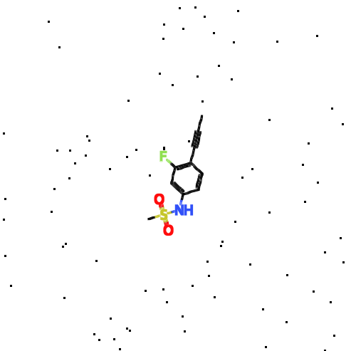 CC#Cc1ccc(NS(C)(=O)=O)cc1F